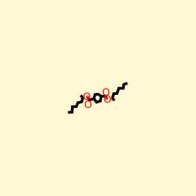 CCCCCCC(C)OC(=O)C1CCC(C(=O)OC(C)CCCCCC)CC1